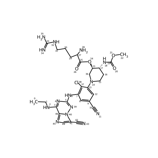 CCNc1nc(Nc2cc(C#N)cc(N3CC[C@@H](NC(=O)OC)[C@H](OC(=O)C(N)CCCNC(=N)N)C3)c2Cl)nn2c(C#N)cnc12